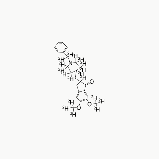 [2H]C([2H])([2H])Oc1cc2c(cc1OC([2H])([2H])[2H])C(=O)C([2H])(CC1([2H])C([2H])([2H])C([2H])([2H])N(C([2H])([2H])c3ccccc3)C([2H])([2H])C1([2H])[2H])C2